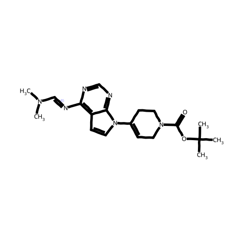 CN(C)/C=N/c1ncnc2c1ccn2C1=CCN(C(=O)OC(C)(C)C)CC1